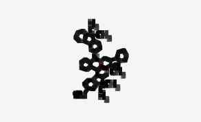 CC12CC=C(N(c3ccc4c(c3)-c3ccccc3C4(C)C)c3ccccc3-c3cccc4c3-c3ccc(C(C)(C)C)cc3C4(C)C)C=C1c1ccccc1O2